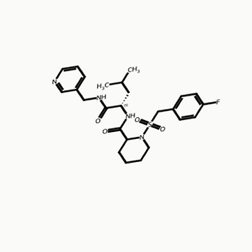 CC(C)C[C@H](NC(=O)C1CCCCN1S(=O)(=O)Cc1ccc(F)cc1)C(=O)NCc1cccnc1